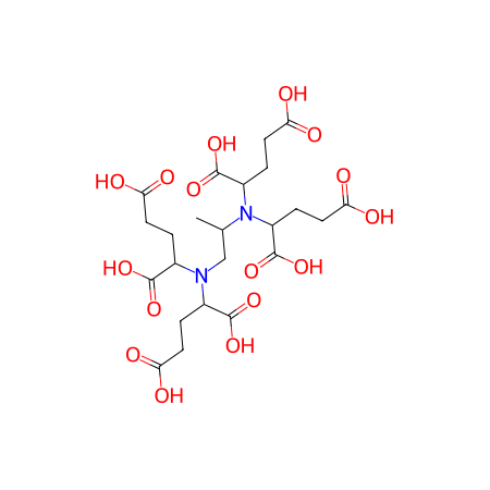 CC(CN(C(CCC(=O)O)C(=O)O)C(CCC(=O)O)C(=O)O)N(C(CCC(=O)O)C(=O)O)C(CCC(=O)O)C(=O)O